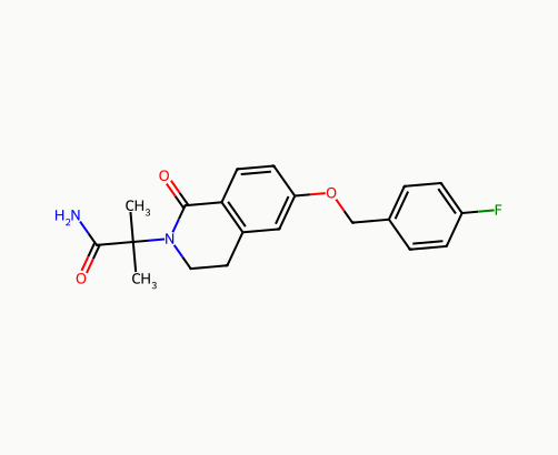 CC(C)(C(N)=O)N1CCc2cc(OCc3ccc(F)cc3)ccc2C1=O